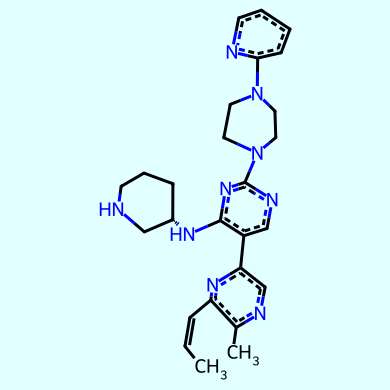 C/C=C\c1nc(-c2cnc(N3CCN(c4ccccn4)CC3)nc2N[C@H]2CCCNC2)cnc1C